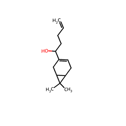 C=CCCC(O)C1=CCC2C(C1)C2(C)C